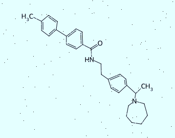 Cc1ccc(-c2ccc(C(=O)NCCc3ccc(C(C)N4CCCCCC4)cc3)cc2)cc1